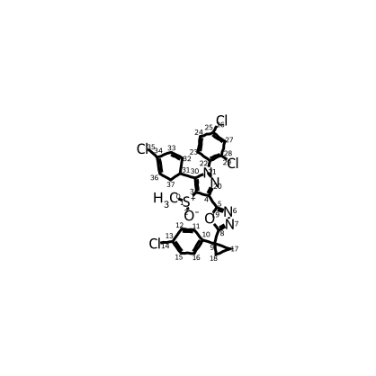 C[S+]([O-])c1c(-c2nnc(C3(c4ccc(Cl)cc4)CC3)o2)nn(-c2ccc(Cl)cc2Cl)c1C1C=CC(Cl)=CC1